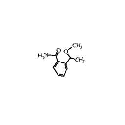 COC(C)c1ccccc1C(N)=O